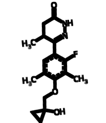 Cc1cc(C2=NNC(=O)CC2C)c(F)c(C)c1OCC1(O)CC1